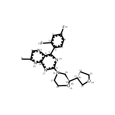 Cc1cnc2c(-c3ccc(F)cc3F)nc(N3CCO[C@H]([C@@H]4CCOC4)C3)nc2n1